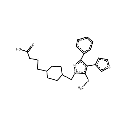 CSc1c(-c2ccsc2)c(-c2ccccc2)nn1CC1CCC(COCC(=O)O)CC1